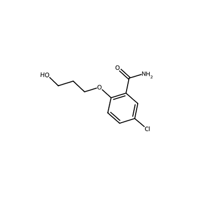 NC(=O)c1cc(Cl)ccc1OCCCO